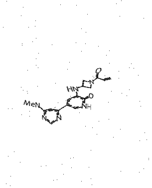 C=CC(=O)N1CC(Nc2cc(-c3cc(NC)ncn3)c[nH]c2=O)C1